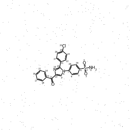 NS(=O)(=O)c1ccc(-n2cc(C(=O)c3ccccc3)nc2-c2ccc(Cl)cc2)cc1